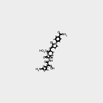 NC(=O)c1ccc(N2CCC(=CC3=C(C(=O)O)N4C(=O)[C@@H](NC(=O)C(=NO)c5csc(N)n5)[C@H]4SC3)C2=O)cc1